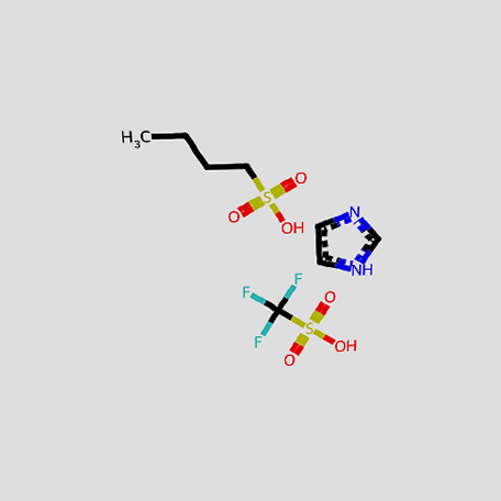 CCCCS(=O)(=O)O.O=S(=O)(O)C(F)(F)F.c1c[nH]cn1